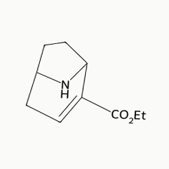 CCOC(=O)C1=CCC2CCC1N2